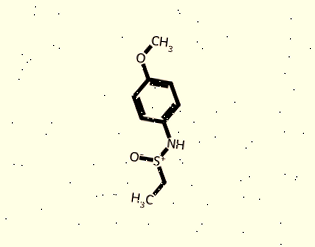 CC[S+]([O-])Nc1ccc(OC)cc1